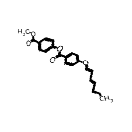 CCCCCCCOc1ccc(C(=O)Oc2ccc(C(=O)OC)cc2)cc1